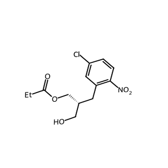 CCC(=O)OC[C@@H](CO)Cc1cc(Cl)ccc1[N+](=O)[O-]